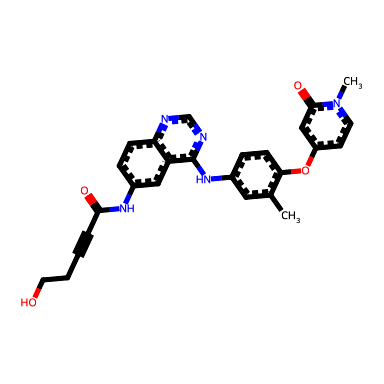 Cc1cc(Nc2ncnc3ccc(NC(=O)C#CCCO)cc23)ccc1Oc1ccn(C)c(=O)c1